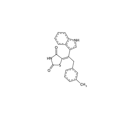 Cc1cccc(CC(=C2SC(=O)NC2=O)c2c[nH]c3ccccc23)c1